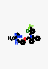 CC(NCCc1cccc(OCCCN(Cc2cccc(C(F)(F)F)c2Cl)CC(c2ccccc2)c2ccccc2)c1)c1ncc[nH]1